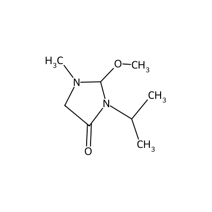 COC1N(C)CC(=O)N1C(C)C